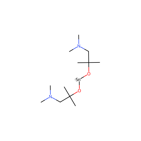 CN(C)CC(C)(C)[O][Sn][O]C(C)(C)CN(C)C